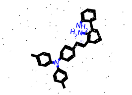 Cc1ccc(N(c2ccc(C)cc2)c2ccc(/C=C/c3cccc(-c4ccccc4N)c3N)cc2)cc1